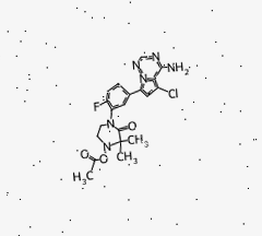 CC(=O)ON1CCN(c2cc(-c3cc(Cl)c4c(N)ncnn34)ccc2F)C(=O)C1(C)C